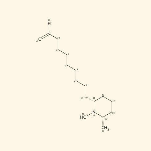 CCC(=O)CCCCCCCC[C@@H]1CCC[C@H](C)N1O